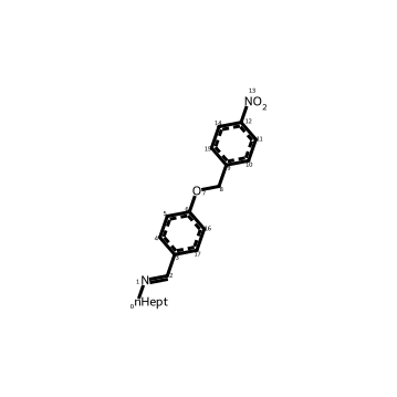 CCCCCCC/N=C/c1ccc(OCc2ccc([N+](=O)[O-])cc2)cc1